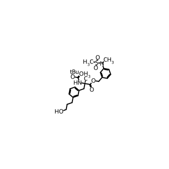 CN(c1cccc(COC(=O)[C@](C)(Cc2cccc(CCCO)c2)NC(=O)OC(C)(C)C)c1)S(C)(=O)=O